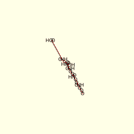 O=CCOCCOCCNC(=O)COCCOCCNC(=O)COCCOCCNC(=O)CC[C@H](NC(=O)[C@H]1CC[C@H](CNC(=O)CCCCCCCCCCCCCCCCCCC(=O)O)CC1)C(=O)O